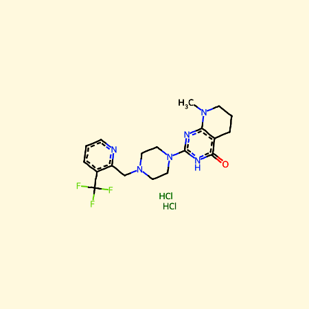 CN1CCCc2c1nc(N1CCN(Cc3ncccc3C(F)(F)F)CC1)[nH]c2=O.Cl.Cl